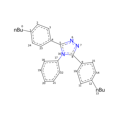 CCCCc1ccc(-c2nnc(-c3ccc(CCCC)cc3)n2-c2ccccc2)cc1